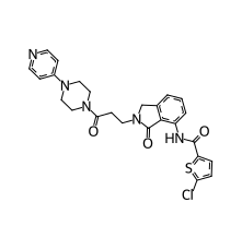 O=C(Nc1cccc2c1C(=O)N(CCC(=O)N1CCN(c3ccncc3)CC1)C2)c1ccc(Cl)s1